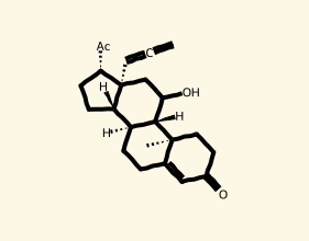 C=C=C[C@]12CC(O)[C@H]3[C@@H](CCC4=CC(=O)CC[C@@]43C)[C@@H]1CC[C@@H]2C(C)=O